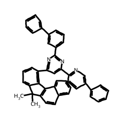 CC1(C)c2cccc(-c3cc(-c4ccc(-c5ccccc5)cn4)nc(-c4cccc(-c5ccccc5)c4)n3)c2-c2c1ccc1ccccc21